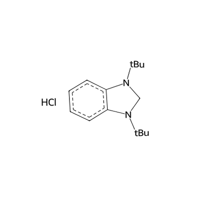 CC(C)(C)N1CN(C(C)(C)C)c2ccccc21.Cl